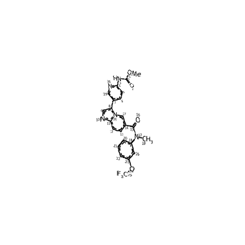 COC(=O)Nc1ccc(-c2cnc3ccc(C(=O)N(C)c4cccc(OC(F)(F)F)c4)cn23)cn1